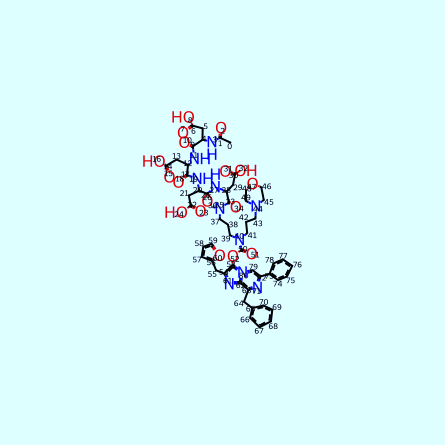 CC(=O)NC(CC(=O)O)C(=O)NC(CC(=O)O)C(=O)NC(CC(=O)O)C(=O)NC(CC(=O)O)C(=O)N(C)CCCN(CCCN1CCOCC1)C(=O)Oc1c(Cc2ccco2)nc2c(Cc3ccccc3)nc(-c3ccccc3)cn12